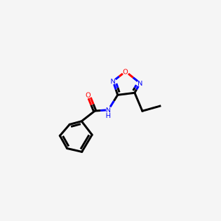 CCc1nonc1NC(=O)c1ccccc1